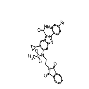 CNC(=O)c1c2cc(C3CC3)c(N(CCN3C(=O)c4ccccc4C3=O)S(C)(=O)=O)cc2nn1-c1ccc(Br)cc1